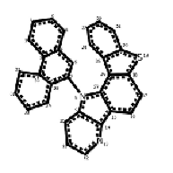 c1ccc2c(c1)cc(-n1c3cccnc3c3ccc4sc5ccccc5c4c31)c1ccccc12